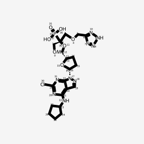 COC[C@@](COCc1nn[nH]n1)(OC[C@@H]1CC[C@H](n2ncc3c(NC4CCCC4)nc(Cl)nc32)O1)P(=O)(O)O